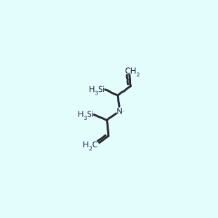 C=CC([SiH3])[N]C([SiH3])C=C